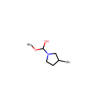 CC(C)(C)OC(O)N1CCC(C(C)(C)C)C1